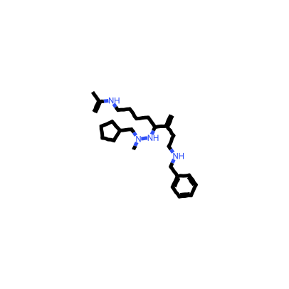 C=C(C)NCCCCC(NN(C)CC1CCCC1)C(=C)CCNCc1ccccc1